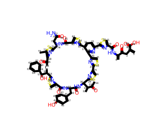 C=C(CC(=O)C(=C)NC(=O)c1csc(-c2ccc3c(n2)-c2csc(n2)-c2csc(n2)C(C(C)C(C)=O)NC(=O)C(Cc2ccc(O)cc2)NC(=O)c2csc(n2)C(C(O)c2ccccc2)CC(=O)c2nc(sc2C)C(CC(N)=O)NC(=O)c2csc-3n2)n1)C(=O)O